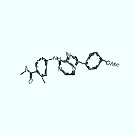 COc1ccc(-c2cnc3c(Nc4ccc(C(=O)N(C)C)c(C)c4)nccn23)cc1